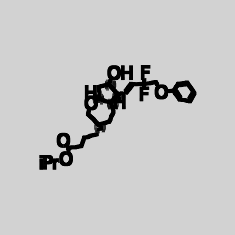 CC(C)OC(=O)CCC[C@H]1CC[C@@H]2[C@@H](C=CC(F)(F)COc3ccccc3)[C@H](O)C[C@@H]2OC1